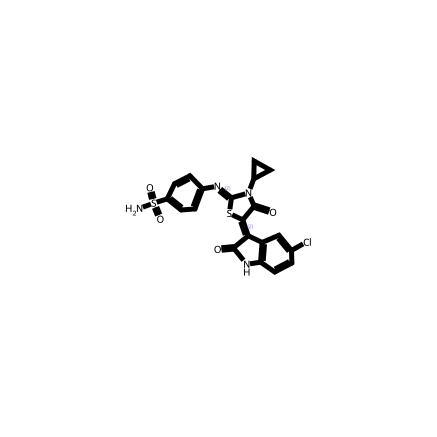 NS(=O)(=O)c1ccc(/N=C2\S/C(=C3\C(=O)Nc4ccc(Cl)cc43)C(=O)N2C2CC2)cc1